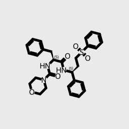 O=C(N[C@@H](CCS(=O)(=O)c1ccccc1)c1ccccc1)[C@H](Cc1ccccc1)NC(=O)N1CCOCC1